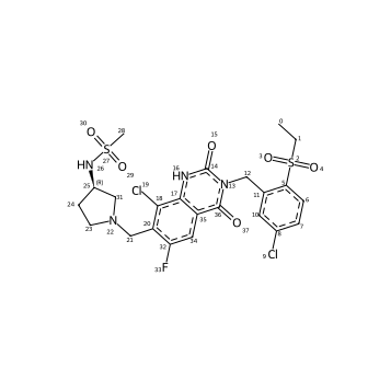 CCS(=O)(=O)c1ccc(Cl)cc1Cn1c(=O)[nH]c2c(Cl)c(CN3CC[C@@H](NS(C)(=O)=O)C3)c(F)cc2c1=O